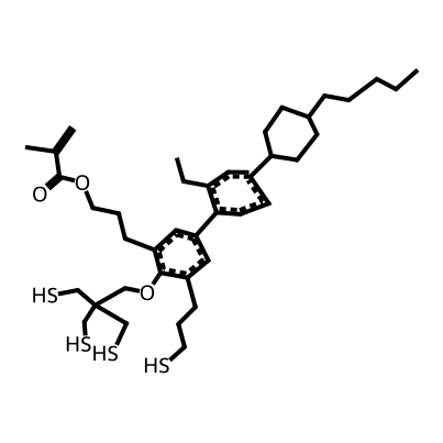 C=C(C)C(=O)OCCCc1cc(-c2ccc(C3CCC(CCCCC)CC3)cc2CC)cc(CCCS)c1OCC(CS)(CS)CS